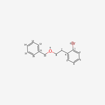 Brc1ccccc1CCOCc1ccccc1